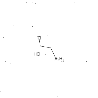 Cl.ClCC[AsH2]